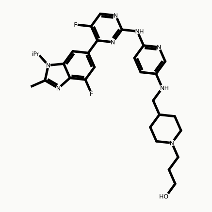 Cc1nc2c(F)cc(-c3nc(Nc4ccc(NCC5CCN(CCCO)CC5)cn4)ncc3F)cc2n1C(C)C